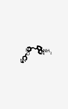 Nc1nccc2c(CCc3ccnc(OCC4CCn5ccnc5C4)c3)cccc12